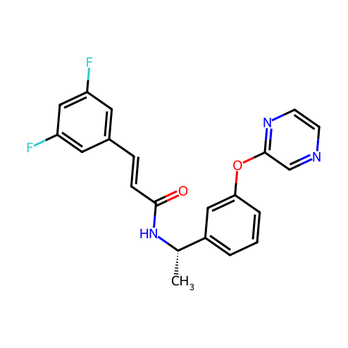 C[C@H](NC(=O)C=Cc1cc(F)cc(F)c1)c1cccc(Oc2cnccn2)c1